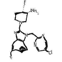 N[C@@H]1CN(c2nc3cc(F)ccc3n2Cc2ncc(Cl)cn2)CC[C@@H]1F